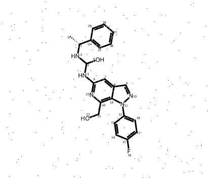 C[C@@H](NC(O)Nc1cc2cnn(-c3ccc(F)cc3)c2c(CO)n1)c1ccccc1